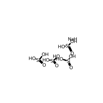 O=[Si](O)O.O=[Si](O)O.O=[Si](O)O.O=[Si](O)O.[NaH]